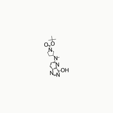 CN(c1ccc2ncnc(O)c2n1)C1CCN(C(=O)OC(C)(C)C)C1